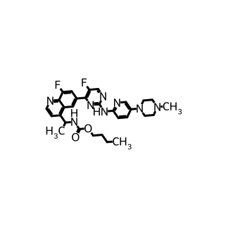 CCCCOC(=O)NC(C)c1ccnc2c(F)cc(-c3nc(Nc4ccc(N5CCN(C)CC5)cn4)ncc3F)cc12